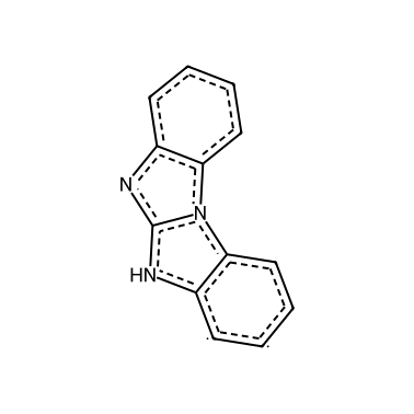 [c]1[c]c2[nH]c3nc4ccccc4n3c2cc1